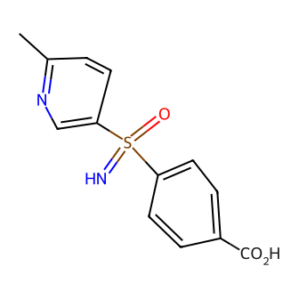 Cc1ccc(S(=N)(=O)c2ccc(C(=O)O)cc2)cn1